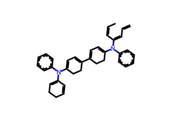 C=C/C=C(\C=C/C)N(C1=CC=C(C2=CC=C(N(C3=CCCC=C3)c3ccccc3)CC2)CC1)c1ccccc1